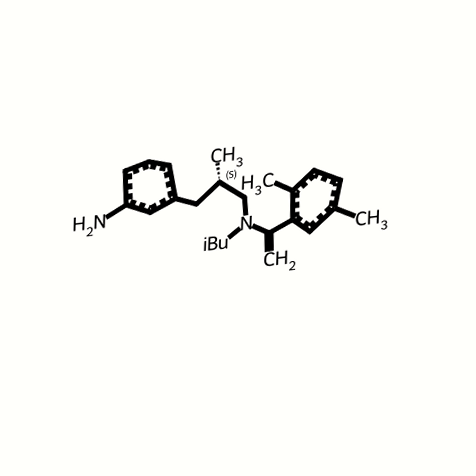 C=C(c1cc(C)ccc1C)N(C[C@@H](C)Cc1cccc(N)c1)C(C)CC